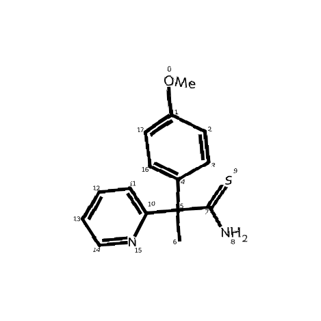 COc1ccc(C(C)(C(N)=S)c2ccccn2)cc1